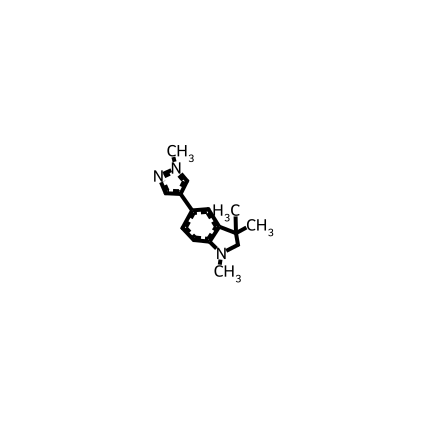 CN1CC(C)(C)c2cc(-c3cnn(C)c3)ccc21